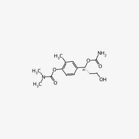 Cc1cc([C@@H](CCO)OC(N)=O)ccc1OC(=O)N(C)C